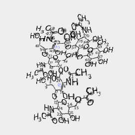 CC(=O)N/C(=C(\O)C(CCO)OC1OC(COC(C)=O)C(O)C(O)C1NC(C)=O)C(O)OC1C(CO)OC(OC(CCO)/C(O)=C(\NC(C)=O)C(O)OC2C(COC3OC(C)C(O)C(O)C3O)OC(O)C(NC(C)=O)C2O)C(NC(C)=O)C1O